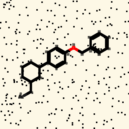 CC(=O)CC1CCCC(c2ccc(OCc3ccccc3)cc2)C1